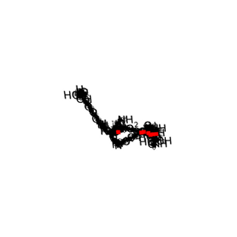 CC(=O)N[C@@H]1[C@@H](O)[C@@H](O)[C@@](C)(COCCOCCOCCOCCn2cc(COCC(COCc3cn(CCOCCOCCOCCOC[C@@]45CO[C@@H](O4)[C@H](NC(C)=O)[C@@H](O)[C@H]5O)nn3)(COCc3cn(CCOCCOCCOCCOC[C@]45CO[C@H](C[C@@H](O)[C@H]4O)O5)nn3)NC(=O)CCCCCN)nn2)O[C@@H]1O